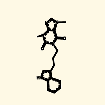 Cn1cnc2c1c(=O)n(CCCc1c[nH]c3ccccc13)c(=O)n2C